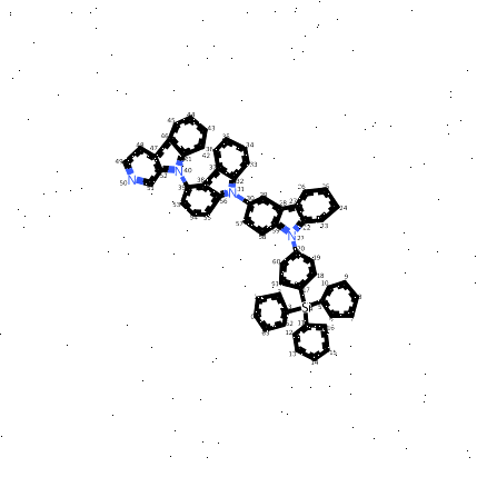 c1ccc([Si](c2ccccc2)(c2ccccc2)c2ccc(-n3c4ccccc4c4cc(-n5c6ccccc6c6c(-n7c8ccccc8c8ccncc87)cccc65)ccc43)cc2)cc1